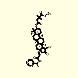 CC(C)C1=C2[C@H]3CC[C@@H]4[C@@]5(C)CC[C@H](OC(=O)CC(C)(C)C(=O)OC(C)(C)C)C(C)(C)[C@@H]5CC[C@@]4(C)[C@]3(C)CC[C@@]2(/C=C/C(=O)N[C@@H](C)c2ccncn2)CC1=O